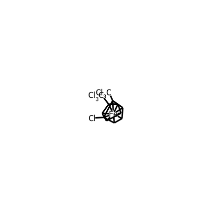 ClC(Cl)(Cl)[C]12[CH]3[CH]4[CH]5[CH]1[Fe]45321678[CH]2[CH]1[C]6(Cl)[C]7(C(Cl)(Cl)Cl)[CH]28